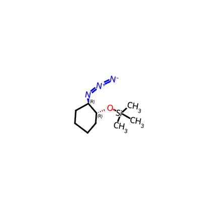 C[Si](C)(C)O[C@@H]1CCCC[C@H]1N=[N+]=[N-]